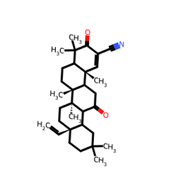 C=C[C@]12CCC(C)(C)CC1C1C(=O)CC3[C@@]4(C)C=C(C#N)C(=O)C(C)(C)C4CC[C@@]3(C)[C@]1(C)CC2